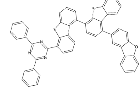 c1ccc(-c2nc(-c3ccccc3)nc(-c3cccc4c3sc3cccc(-c5ccc(-c6ccc7oc8ccccc8c7c6)c6c5sc5ccccc56)c34)n2)cc1